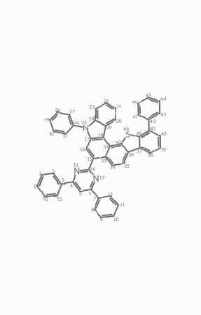 c1ccc(-c2cc(-c3ccccc3)nc(-c3cc4c(c5ccccc5n4-c4ccccc4)c4c3ccc3c5cccc(-c6ccccc6)c5sc34)n2)cc1